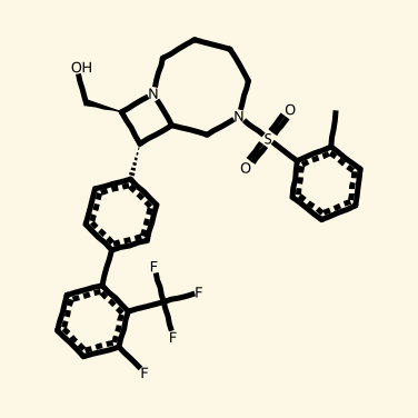 Cc1ccccc1S(=O)(=O)N1CCCCN2C(C1)[C@H](c1ccc(-c3cccc(F)c3C(F)(F)F)cc1)[C@H]2CO